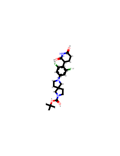 CC(C)(C)OC(=O)N1CCC2(CCN(c3cc(F)c(C4CCC(=O)NC4=O)c(F)c3)C2)C1